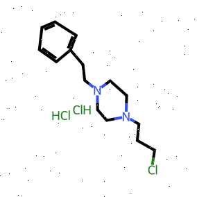 Cl.Cl.ClCCCN1CCN(CCc2ccccc2)CC1